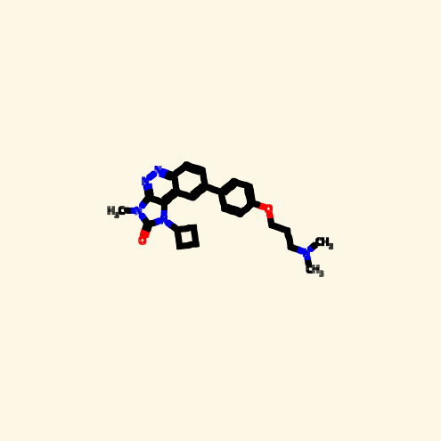 CN(C)CCCOc1ccc(-c2ccc3nnc4c(c3c2)n(C2CCC2)c(=O)n4C)cc1